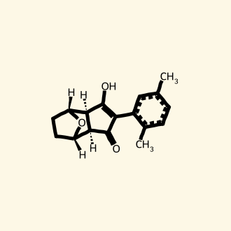 Cc1ccc(C)c(C2=C(O)[C@H]3[C@@H](C2=O)[C@@H]2CC[C@H]3O2)c1